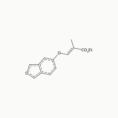 CCOC(=O)C(C)=COc1ccc2cocc2c1